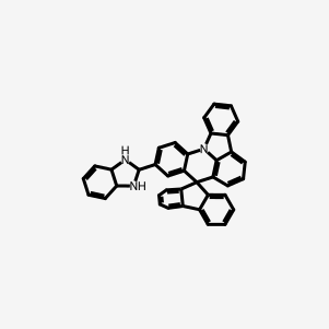 C1=CC2NC(c3ccc4c(c3)C3(c5ccccc5-c5ccccc53)c3cccc5c6ccccc6n-4c35)NC2C=C1